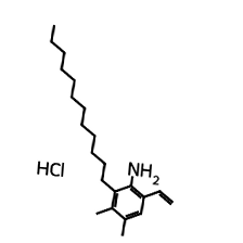 C=Cc1cc(C)c(C)c(CCCCCCCCCCCC)c1N.Cl